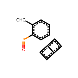 O=Cc1ccccc1P=O.c1cc2ccc1-2